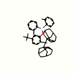 Cc1ccccc1P(Cc1cc(C(C)(C)C)ccc1C(P)(C12CC3CC(CC(C3)C1)C2)C12CC3CC(CC(C3)C1)C2)c1ccccc1C